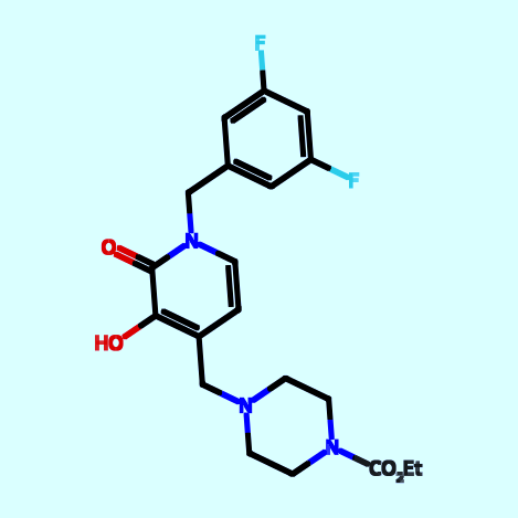 CCOC(=O)N1CCN(Cc2ccn(Cc3cc(F)cc(F)c3)c(=O)c2O)CC1